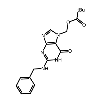 CC(C)(C)C(=O)OCn1cnc2nc(NCc3ccccc3)[nH]c(=O)c21